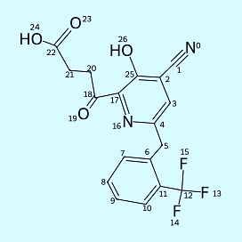 N#Cc1cc(Cc2ccccc2C(F)(F)F)nc(C(=O)CCC(=O)O)c1O